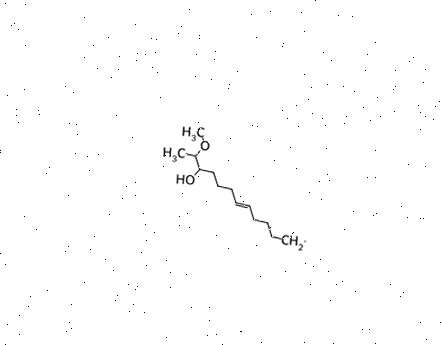 [CH2]CCCC=CCCCC(O)C(C)OC